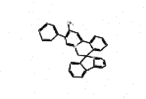 Cc1cc2[n+](cc1-c1ccccc1)CC1(c3ccccc3-2)c2ccccc2-c2cccc[n+]21